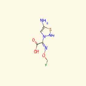 NC1=CN(C(=NOCF)C(=O)O)NS1